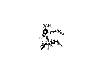 CCn1nc(C)cc1C(=O)Nc1nc2cc(C(N)=O)cnc2n1C/C=C/Cn1c(N)nc2cc(C(N)=O)cc(OCCCO[Si](C)(C)C(C)(C)C)c21